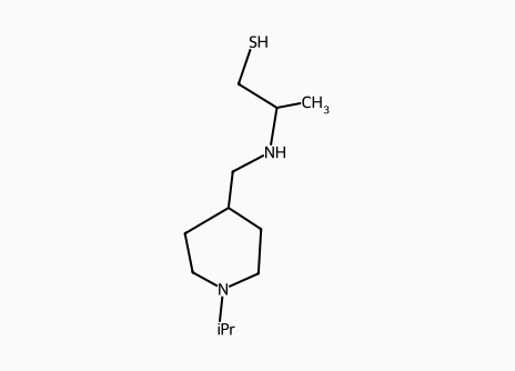 CC(CS)NCC1CCN(C(C)C)CC1